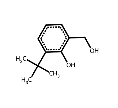 CC(C)(C)c1cccc(CO)c1O